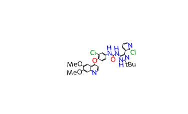 COc1cc2nccc(Oc3ccc(NC(=O)Nc4[nH]c(C(C)(C)C)nc4-c4cccnc4Cl)cc3Cl)c2cc1OC